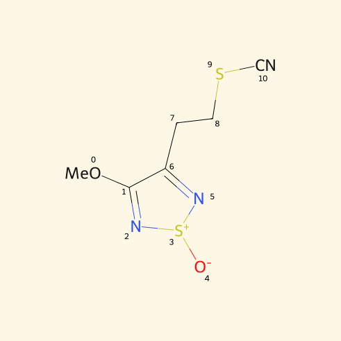 COc1n[s+]([O-])nc1CCSC#N